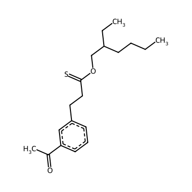 CCCCC(CC)COC(=S)CCc1cccc(C(C)=O)c1